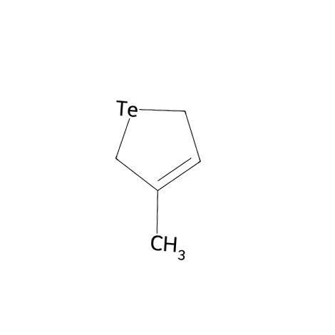 CC1=CC[Te]C1